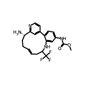 COC(=O)Nc1ccc2c(c1)NC(C(F)(F)F)C/C=C/CC[C@H](N)c1cc-2ccn1